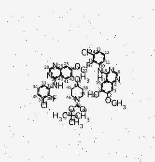 COc1cc2ncnc(Nc3cccc(Cl)c3F)c2cc1O.COc1cc2ncnc(Nc3cccc(Cl)c3F)c2cc1OC1CCN(C(=O)OC(C)(C)C)CC1